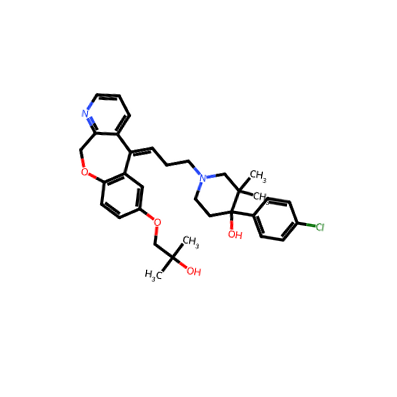 CC(C)(O)COc1ccc2c(c1)/C(=C\CCN1CCC(O)(c3ccc(Cl)cc3)C(C)(C)C1)c1cccnc1CO2